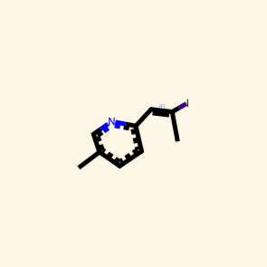 C/C(I)=C\c1ccc(C)cn1